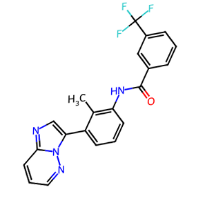 Cc1c(NC(=O)c2cccc(C(F)(F)F)c2)cccc1-c1cnc2cccnn12